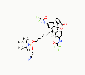 CC(C)N(C(C)C)P(OCCC#N)OCCCCCCC1(C)c2cc(NC(=O)C(F)(F)F)ccc2C2(OC(=O)c3ccccc32)c2ccc(NC(=O)C(F)(F)F)cc21